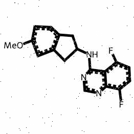 COc1ccc2c(c1)CC(Nc1ncnc3c(F)ccc(F)c13)C2